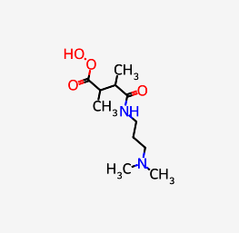 CC(C(=O)NCCCN(C)C)C(C)C(=O)OO